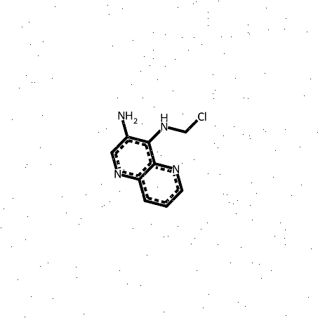 Nc1cnc2cccnc2c1NCCl